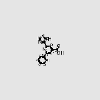 O=C(O)c1cc(-c2ccccc2)nc(-c2nnn[nH]2)c1